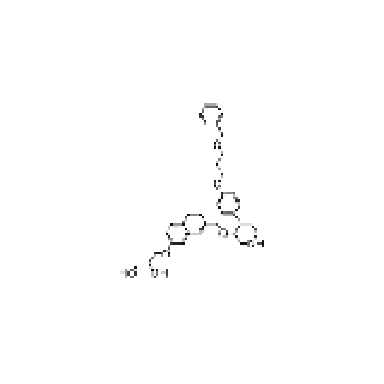 OCC(O)COc1ccc2ccc(COC3CNCCC3c3ccc(OCCCOCc4ccccc4)cc3)cc2c1